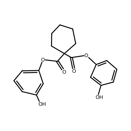 O=C(Oc1cccc(O)c1)C1(C(=O)Oc2cccc(O)c2)CCCCC1